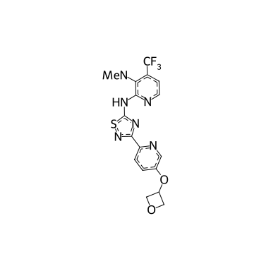 CNc1c(C(F)(F)F)ccnc1Nc1nc(-c2ccc(OC3COC3)cn2)ns1